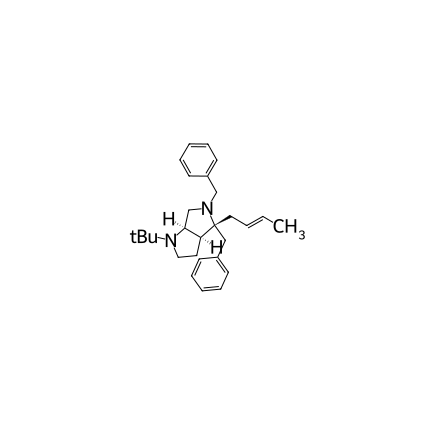 C/C=C/C[C@@]1(Cc2ccccc2)[C@H]2CCN(C(C)(C)C)[C@H]2CN1Cc1ccccc1